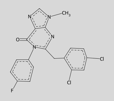 Cn1cnc2c(=O)n(-c3ccc(F)cc3)c(Cc3ccc(Cl)cc3Cl)nc21